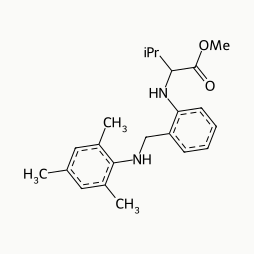 COC(=O)C(Nc1ccccc1CNc1c(C)cc(C)cc1C)C(C)C